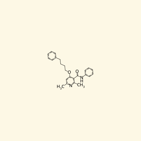 Cc1cc(OCCCCc2ccccc2)c(C(=O)Nc2ccccc2)c(C)n1